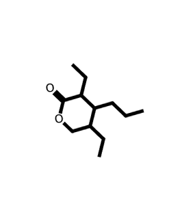 CCCC1C(CC)COC(=O)C1CC